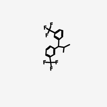 CC(C)C(c1cccc(C(F)(F)F)c1)c1cccc(C(F)(F)F)c1